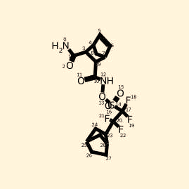 NC(=O)C1C2C=CC(C2)C1C(=O)NOS(=O)(=O)C(F)(F)C(F)(F)C1CC2CCC1C2